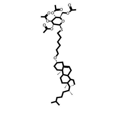 CC(=O)OC[C@H]1O[C@@H](SCCCCCCO[C@H]2CC[C@@]3(C)C(=CCC4C3CC[C@@]3(C)C4CC[C@@H]3[C@H](C)CCCC(C)C)C2)[C@H](OC(C)=O)[C@@H](OC(C)=O)[C@@H]1OC(C)=O